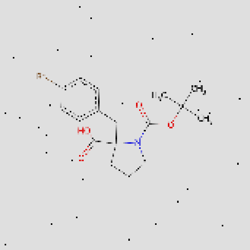 CC(C)(C)OC(=O)N1CCCC1(Cc1ccc(Br)cc1)C(=O)O